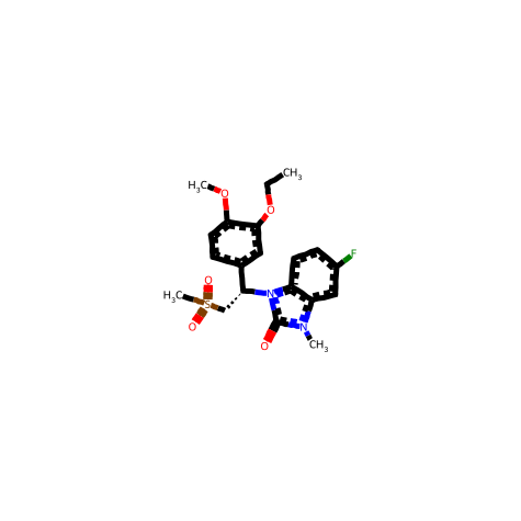 CCOc1cc([C@@H](CS(C)(=O)=O)n2c(=O)n(C)c3cc(F)ccc32)ccc1OC